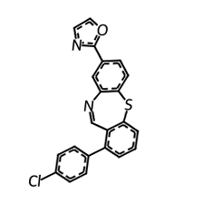 Clc1ccc(-c2cccc3c2C=Nc2cc(-c4ncco4)ccc2S3)cc1